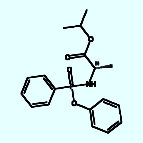 CC(C)OC(=O)[C@H](C)NP(=O)(Oc1ccccc1)c1ccccc1